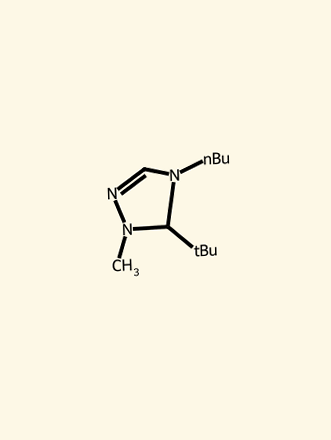 CCCCN1C=NN(C)C1C(C)(C)C